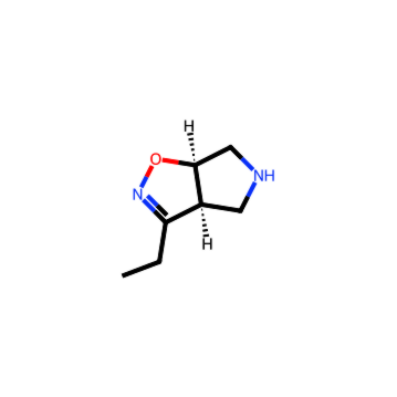 CCC1=NO[C@H]2CNC[C@@H]12